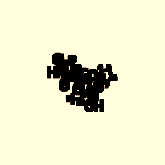 C[C@@]12OC3(CCCC3)O[C@@H]1[C@](CO)(CI)OC2n1ccc(=O)[nH]c1=O